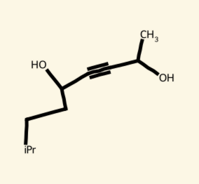 CC(O)C#CC(O)CCC(C)C